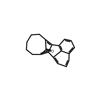 O=C1C2=C3C(=C1CCCCC2)c1cccc2cccc3c12